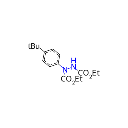 CCOC(=O)NN(C(=O)OCC)c1ccc(C(C)(C)C)cc1